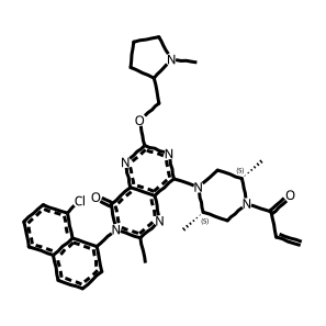 C=CC(=O)N1C[C@H](C)N(c2nc(OCC3CCCN3C)nc3c(=O)n(-c4cccc5cccc(Cl)c45)c(C)nc23)C[C@@H]1C